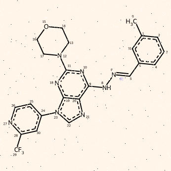 Cc1cccc(/C=N/Nc2nc(N3CCOCC3)nc3c2ncn3-c2ccnc(C(F)(F)F)c2)c1